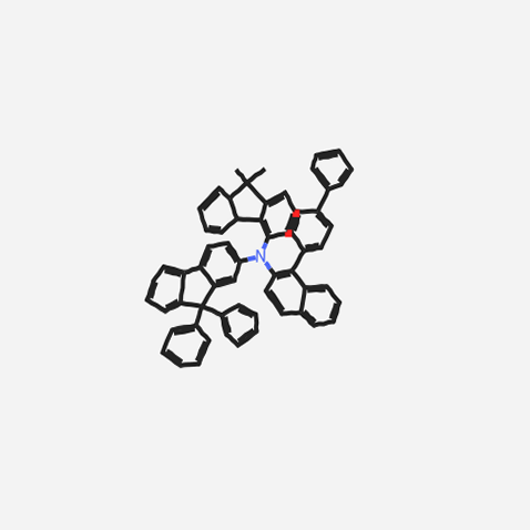 CC1(C)c2cccc(N(c3ccc4c(c3)C(c3ccccc3)(c3ccccc3)c3ccccc3-4)c3ccc4ccccc4c3-c3ccc(-c4ccccc4)cc3)c2C2C=CC=CC21